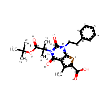 Cc1c(C(=O)O)sc2c1c(=O)n(C(C)(C)C(=O)OC(C)(C)C)c(=O)n2CCc1ccccc1